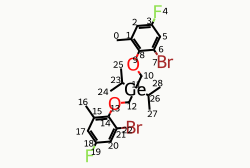 Cc1cc(F)cc(Br)c1O[CH2][Ge]([CH2]Oc1c(C)cc(F)cc1Br)([CH](C)C)[CH](C)C